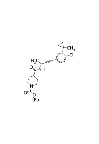 CC(C#Cc1ccc(Cl)c(C2(C)CC2)c1)NC(=O)N1CCN(C(=O)OC(C)(C)C)CC1